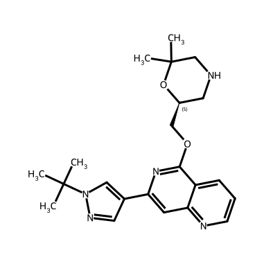 CC1(C)CNC[C@@H](COc2nc(-c3cnn(C(C)(C)C)c3)cc3ncccc23)O1